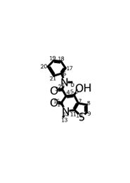 CN(C(=O)c1c(O)c2ccsc2n(C)c1=O)c1ccccc1